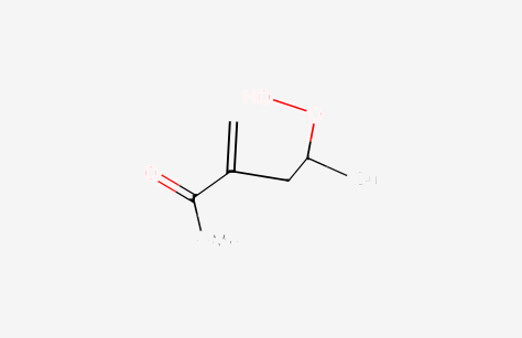 C=C(CC(OO)C(C)(C)C)C(=O)OC